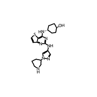 O[C@H]1CC[C@H](Nc2nc(Nc3cnn(C4CCCNC4)c3)nc3ccsc23)CC1